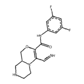 N=CC1=C(C(=O)Nc2cc(F)cc(F)c2)OCC2CNCCN12